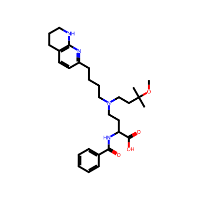 COC(C)(C)CCN(CCCCc1ccc2c(n1)NCCC2)CCC(NC(=O)c1ccccc1)C(=O)O